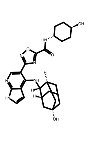 O=C(N[C@H]1CC[C@H](O)CC1)c1nc(-c2cnc3[nH]ccc3c2N[C@H]2[C@@H]3CC4C[C@H]2C[C@@](O)(C4)C3)no1